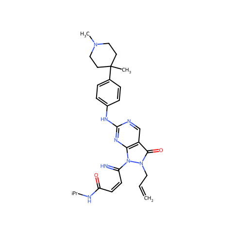 C=CCn1c(=O)c2cnc(Nc3ccc(C4(C)CCN(C)CC4)cc3)nc2n1C(=N)/C=C\C(=O)NC(C)C